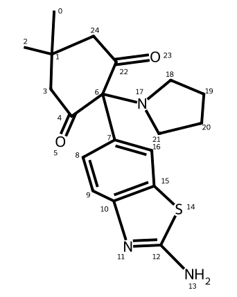 CC1(C)CC(=O)C(c2ccc3nc(N)sc3c2)(N2CCCC2)C(=O)C1